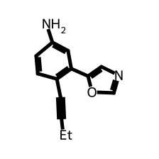 CCC#Cc1ccc(N)cc1-c1cnco1